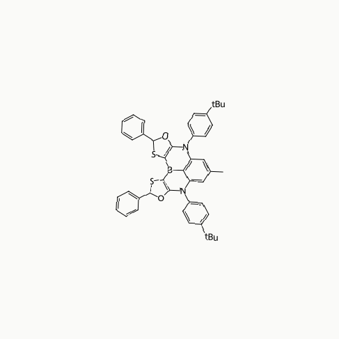 Cc1cc2c3c(c1)N(c1ccc(C(C)(C)C)cc1)C1=C(SC(c4ccccc4)O1)B3C1=C(OC(c3ccccc3)S1)N2c1ccc(C(C)(C)C)cc1